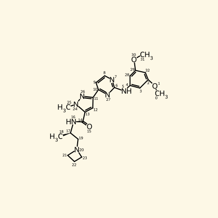 COc1cc(Nc2nccc(-c3cc(C(=O)N[C@H](C)CN4CCC4)n(C)n3)n2)cc(OC)c1